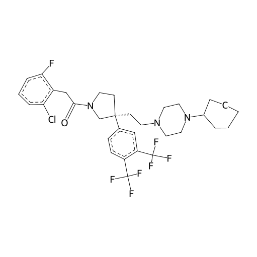 O=C(Cc1c(F)cccc1Cl)N1CC[C@@](CCN2CCN(C3CCCCC3)CC2)(c2ccc(C(F)(F)F)c(C(F)(F)F)c2)C1